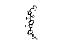 COc1nccc(-c2cc3cnc(NC(=O)c4cnn(C[C@H]5CCCO5)c4)cc3[nH]2)n1